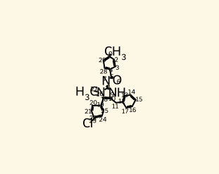 Cc1ccc(C(=O)/N=c2\[nH]c(Cc3ccccc3)c(-c3ccc(Cl)cc3)n2C)cc1